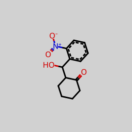 O=C1CCCCC1C(O)c1ccccc1[N+](=O)[O-]